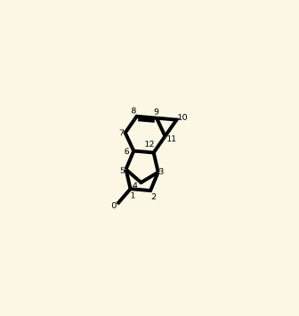 CC1CC2CC1C1CC=C3CC3C21